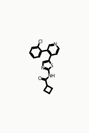 O=C(Nc1ncc(-c2ccncc2-c2ccccc2Cl)s1)C1CCC1